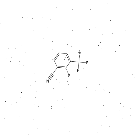 N#Cc1[c]ccc(C(F)(F)F)c1F